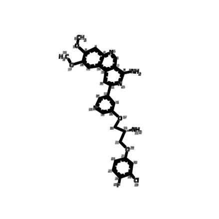 COc1cc2ncc3c(N)nc(-c4cncc(OC[C@H](N)COc5ccc(F)c(Cl)c5)c4)cc3c2cc1OC